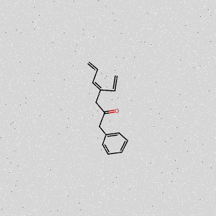 C=C/C=C(\C=C)CC(=O)Cc1ccccc1